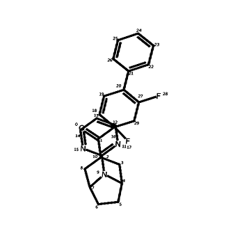 O=C(C1CC2CCC(C1)N2c1ncccn1)C1(F)C=CC(c2ccccc2)=C(F)C1